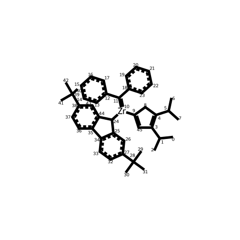 CC(C)C1=C(C(C)C)C[C]([Zr](=[C](c2ccccc2)c2ccccc2)[CH]2c3cc(C(C)(C)C)ccc3-c3ccc(C(C)(C)C)cc32)=C1